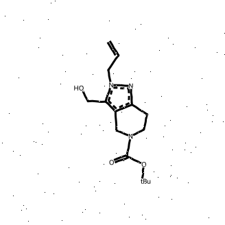 C=CCn1nc2c(c1CO)CN(C(=O)OC(C)(C)C)CC2